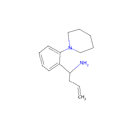 C=CCC(N)c1ccccc1N1CCCCC1